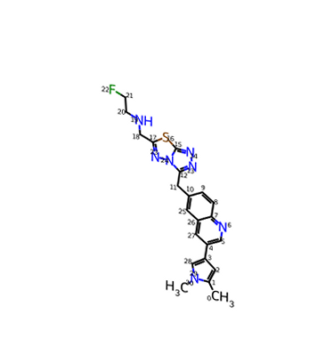 Cc1cc(-c2cnc3ccc(Cc4nnc5sc(CNCCF)nn45)cc3c2)cn1C